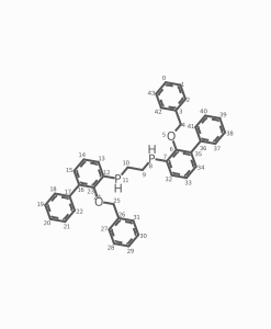 c1ccc(COc2c(PCCPc3cccc(-c4ccccc4)c3OCc3ccccc3)cccc2-c2ccccc2)cc1